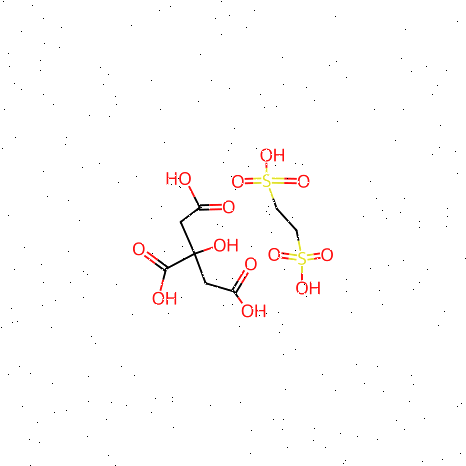 O=C(O)CC(O)(CC(=O)O)C(=O)O.O=S(=O)(O)CCS(=O)(=O)O